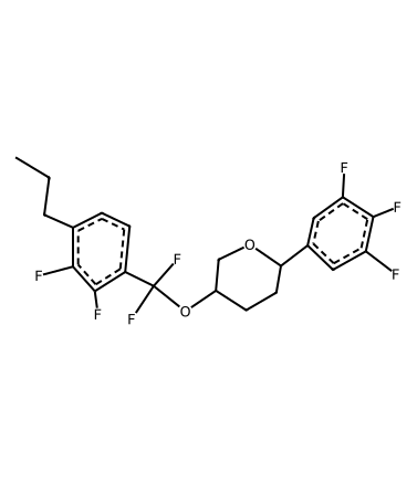 CCCc1ccc(C(F)(F)OC2CCC(c3cc(F)c(F)c(F)c3)OC2)c(F)c1F